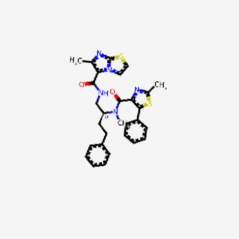 Cc1nc(C(=O)N(C)[C@@H](CCc2ccccc2)CNC(=O)c2c(C)nc3sccn23)c(-c2ccccc2)s1